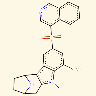 COc1cc(S(=O)(=O)c2cncc3ccccc23)cc2c3c(n(C)c12)CC1CCC3N1